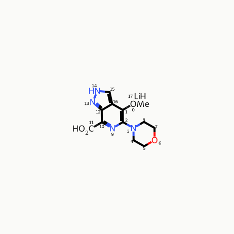 COc1c(N2CCOCC2)nc(C(=O)O)c2n[nH]cc12.[LiH]